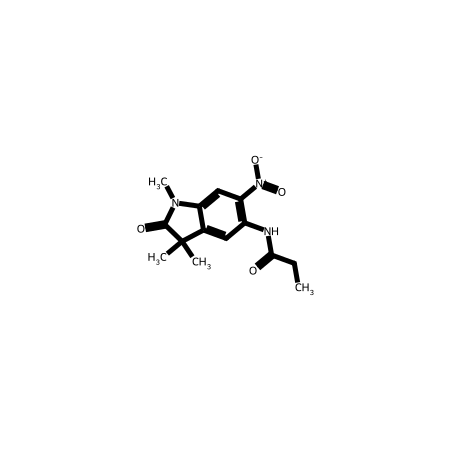 CCC(=O)Nc1cc2c(cc1[N+](=O)[O-])N(C)C(=O)C2(C)C